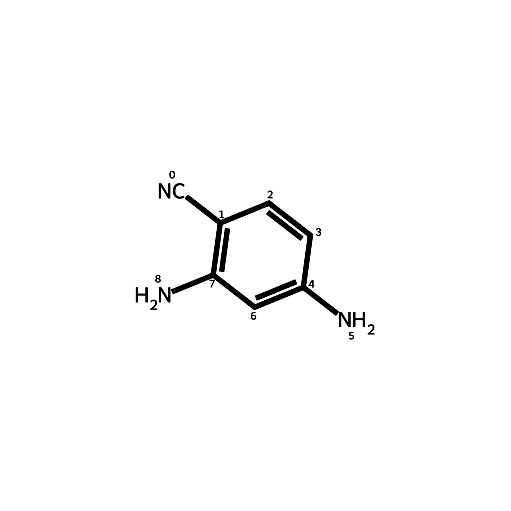 N#Cc1ccc(N)cc1N